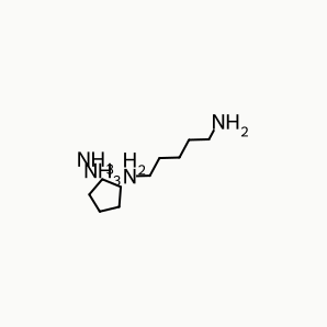 C1CCCC1.N.N.NCCCCCN